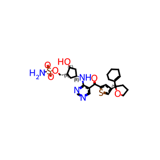 NS(=O)(=O)OC[C@H]1C[C@@H](Nc2ncncc2C(=O)c2cc([C@@]3(C4=CCCCC4)CCCO3)cs2)C[C@@H]1O